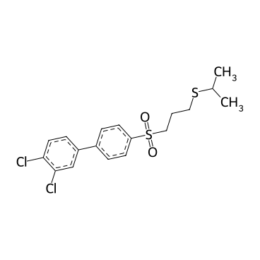 CC(C)SCCCS(=O)(=O)c1ccc(-c2ccc(Cl)c(Cl)c2)cc1